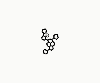 C1=CC=CCC=1c1cc(-c2cccc3c2oc2ccccc23)c2ccc3c(-c4ccccc4)ccc4ccc1c2c43